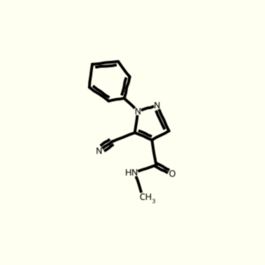 CNC(=O)c1cnn(-c2ccccc2)c1C#N